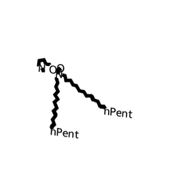 CCCCCC=CCC=CCCCCCCCCN(CCCCCCCCC=CCC=CCCCCC)C(=O)OCC1CCCN1C